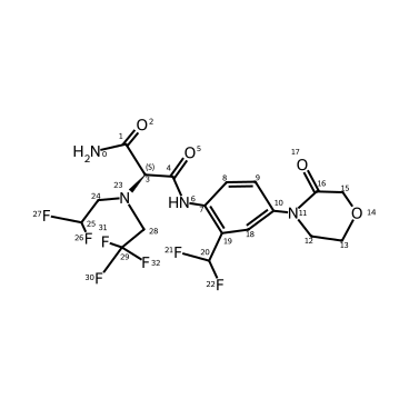 NC(=O)[C@@H](C(=O)Nc1ccc(N2CCOCC2=O)cc1C(F)F)N(CC(F)F)CC(F)(F)F